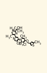 Cc1cc(COc2cc(C)n(-c3cc(-c4nc(C(C)(C)O)ncc4C)ncc3C)c(=O)c2Cl)cs1